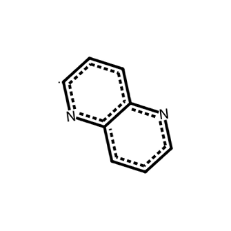 [c]1ccc2ncccc2n1